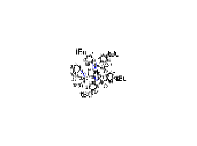 CC(C)(C)c1ccc(N2C3=C(B4C5=C(N(c6ccc(C(C)(C)C)cc6)c6cc(N7c8ccccc8C8(C)CCCCC78C)cc2c64)C(C)(C)c2cc(C(C)(C)C)ccc25)C(C)(C)c2cc(C(C)(C)C)ccc23)cc1